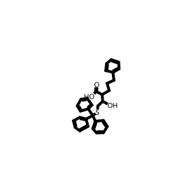 O=C(O)C(CCCc1ccccc1)C(O)CSC(c1ccccc1)(c1ccccc1)c1ccccc1